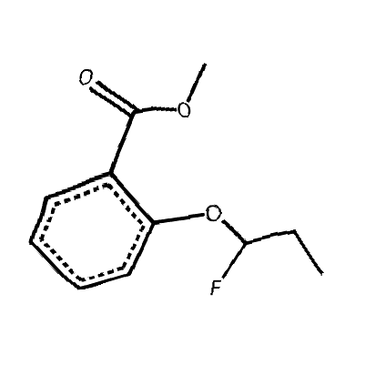 CCC(F)Oc1ccccc1C(=O)OC